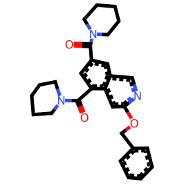 O=C(c1cc(C(=O)N2CCCCC2)c2cc(OCc3ccccc3)ncc2c1)N1CCCCC1